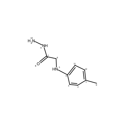 Cc1ccc(NCC(=O)NN)cc1